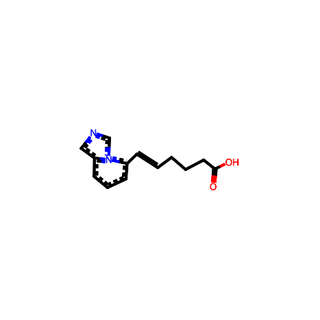 O=C(O)CCC/C=C/c1cccc2cncn12